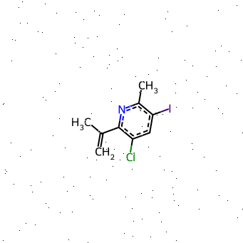 C=C(C)c1nc(C)c(I)cc1Cl